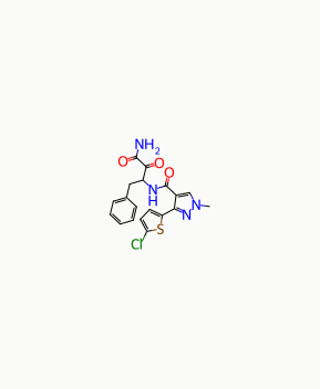 Cn1cc(C(=O)NC(Cc2ccccc2)C(=O)C(N)=O)c(-c2ccc(Cl)s2)n1